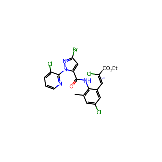 CCOC(=O)/C(Cl)=C/c1cc(Cl)cc(C)c1NC(=O)c1cc(Br)nn1-c1ncccc1Cl